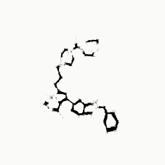 Nc1ncnn2c(CCCN3CCN(C(=O)N4CCOCC4)CC3)cc(-c3ccc4cn(Cc5ccccc5)nc4c3)c12